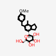 COc1ccc(Cc2cc([C@H]3O[C@@H](CO)[C@H](O)[C@H](O)[C@@H]3O)c3c(c2C)CCC3)cc1